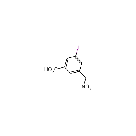 O=C(O)c1cc(I)cc(C[N+](=O)[O-])c1